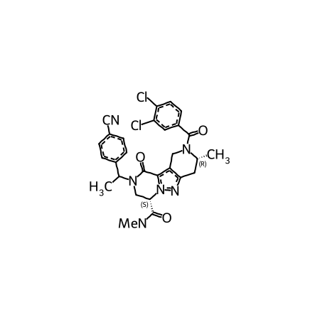 CNC(=O)[C@@H]1CN(C(C)c2ccc(C#N)cc2)C(=O)c2c3c(nn21)C[C@@H](C)N(C(=O)c1ccc(Cl)c(Cl)c1)C3